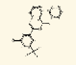 CC(NC(=O)c1cc(Cl)nc(C(F)(F)F)c1)c1nccnc1-c1cnccn1